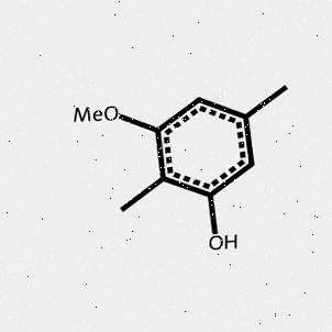 COc1cc(C)cc(O)c1C